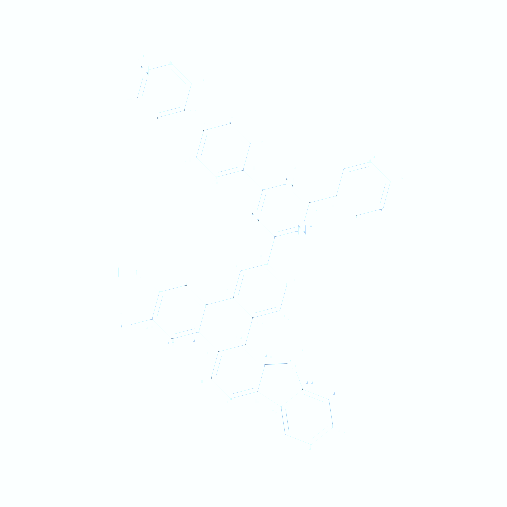 Cc1cc2c3cc(-c4nc(-c5ccccc5)nc(-c5ccc(-c6ccncc6)cc5)n4)ccc3c3c(ccc4c5ccccc5sc43)c2cc1C